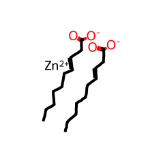 CCCCCCC=CCC(=O)[O-].CCCCCCC=CCC(=O)[O-].[Zn+2]